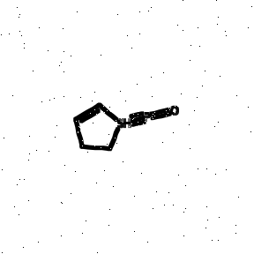 O=P#[SH]1C=CCC1